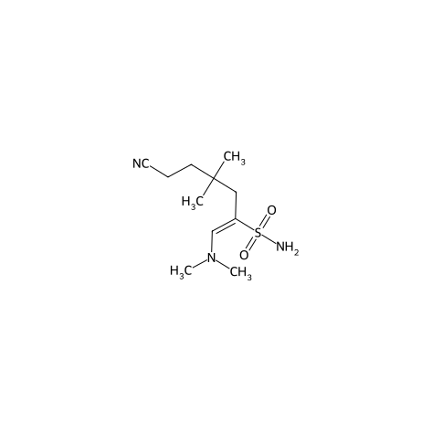 CN(C)C=C(CC(C)(C)CCC#N)S(N)(=O)=O